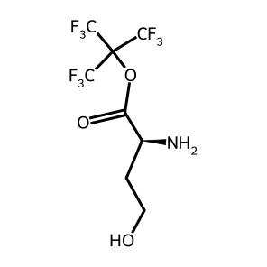 N[C@@H](CCO)C(=O)OC(C(F)(F)F)(C(F)(F)F)C(F)(F)F